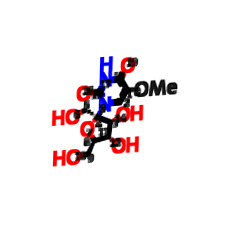 COc1cn([C@]2(CO)O[C@H](CO)[C@@H](O)[C@H]2O)c(=O)[nH]c1=O